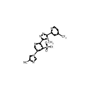 CCS(=O)(=O)c1cc(-n2cnc(C#N)c2)cnc1-c1nnc(-c2cc(C(F)(F)F)ccn2)n1C